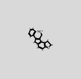 N#CCC1=C(c2ccccc2)Cc2ccc3c(c21)CCO3